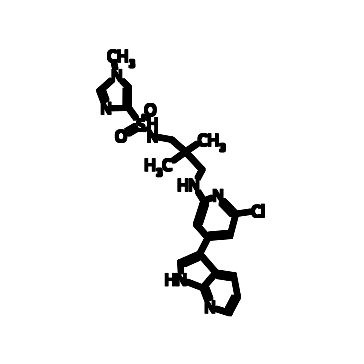 Cn1cnc(S(=O)(=O)NCC(C)(C)CNc2cc(-c3c[nH]c4ncccc34)cc(Cl)n2)c1